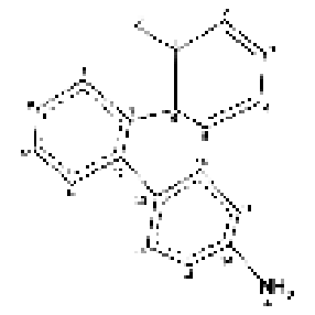 CC1C=CC=CC1c1ccccc1-c1ccc(N)cc1